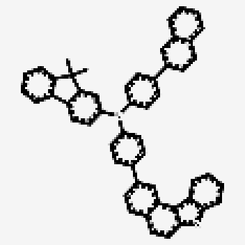 CC1(C)c2ccccc2-c2ccc(N(c3ccc(-c4ccc5ccccc5c4)cc3)c3ccc(-c4ccc5ccc6sc7ccccc7c6c5c4)cc3)cc21